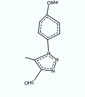 COc1ccc(-n2nnc(C=O)c2C)cc1